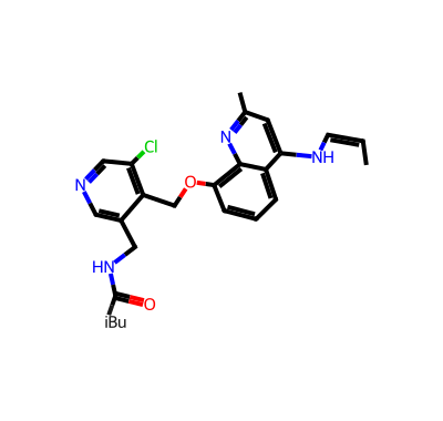 C/C=C\Nc1cc(C)nc2c(OCc3c(Cl)cncc3CNC(=O)C(C)CC)cccc12